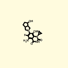 COc1c(N2CC3CCC(O)C3C2)c(F)c(N)c2c(=O)[nH]c(=O)n(C3CC3)c12